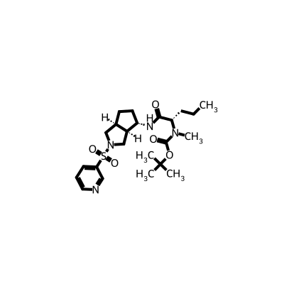 CCC[C@@H](C(=O)N[C@H]1CC[C@@H]2CN(S(=O)(=O)c3cccnc3)C[C@@H]21)N(C)C(=O)OC(C)(C)C